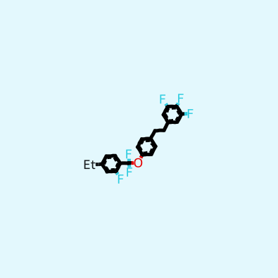 CCc1ccc(C(F)(F)Oc2ccc(CCc3cc(F)c(F)c(F)c3)cc2)c(F)c1